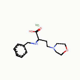 Cl.O=C(O)C(CCN1CCOCC1)NCc1ccccc1